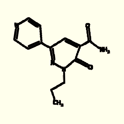 CCCn1nc(-c2ccncc2)cc(C(N)=O)c1=O